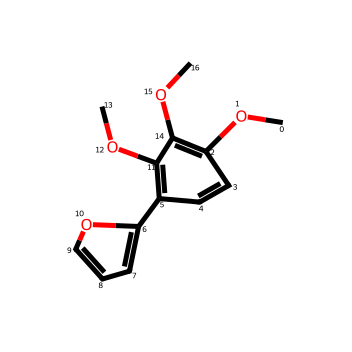 COc1ccc(-c2ccco2)c(OC)c1OC